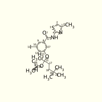 Cc1csc(NC(=O)c2cc(I)cc(OC(C)(CCC(C)(C)C)O[SiH](C)C)c2)n1